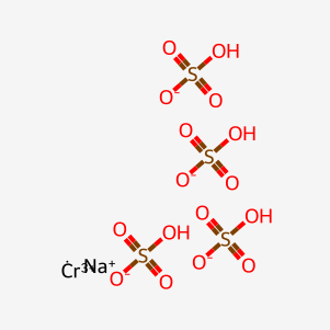 O=S(=O)([O-])O.O=S(=O)([O-])O.O=S(=O)([O-])O.O=S(=O)([O-])O.[Cr+3].[Na+]